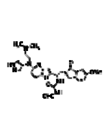 COc1ccc2c(c1)C(=O)N(C[C@H](NC(=O)NC=O)c1cc3nc(N(CCN(C)C)c4cn[nH]c4)ccc3o1)C2